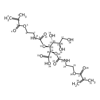 C=C(C)C(=O)OCCNC(=O)O[C@@H]([C@H](O)[C@H](O)CO)[C@@H](OC(=O)NCCOC(=O)C(=C)C)C(=O)O